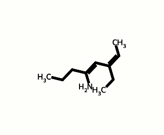 C/C=C(\C=C(/N)CCC)CC